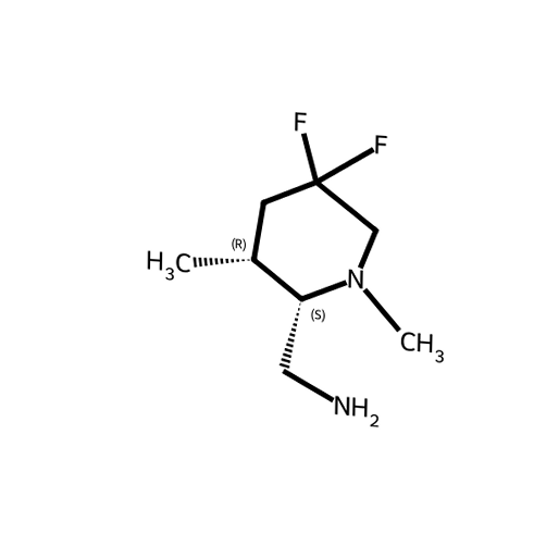 C[C@@H]1CC(F)(F)CN(C)[C@@H]1CN